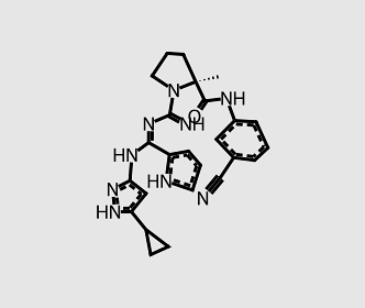 C[C@@]1(C(=O)Nc2cccc(C#N)c2)CCCN1C(=N)/N=C(/Nc1cc(C2CC2)[nH]n1)c1ccc[nH]1